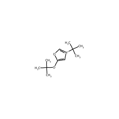 CC(C)(C)Oc1c[n+](C(C)(C)C)co1